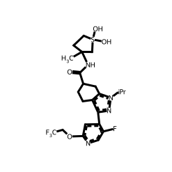 CC(C)n1nc(-c2cc(OCC(F)(F)F)ncc2F)c2c1CC(C(=O)NC1(C)CCS(O)(O)C1)CC2